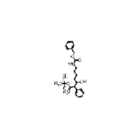 CC(C)(C)OC(=O)C(c1ccccc1)C(O)CCCCNC(=O)OCc1ccccc1